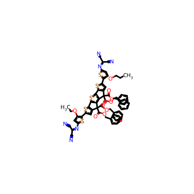 CCCOc1cc(N=C(C#N)C#N)sc1-c1cc2c(s1)-c1sc3c(c1C2(C(=O)OCc1ccccc1)C(=O)OCc1ccccc1)C(C(=O)OCc1ccccc1)(C(=O)OCc1ccccc1)c1cc(-c2sc(N=C(C#N)C#N)cc2OCC)sc1-3